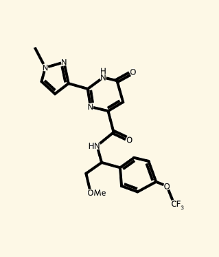 COCC(NC(=O)c1cc(=O)[nH]c(-c2ccn(C)n2)n1)c1ccc(OC(F)(F)F)cc1